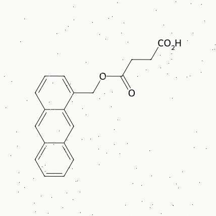 O=C(O)CCC(=O)OCc1cccc2cc3ccccc3cc12